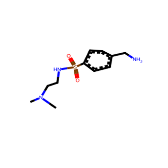 CN(C)CCNS(=O)(=O)c1ccc(CN)cc1